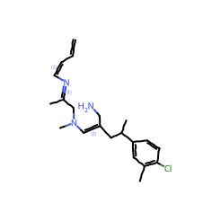 C=C/C=C\N=C(/C)CN(C)/C=C(\CN)CC(C)c1ccc(Cl)c(C)c1